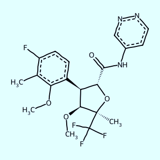 COc1c([C@H]2[C@H](C(=O)Nc3ccnnc3)O[C@@](C)(C(F)(F)F)[C@H]2OC)ccc(F)c1C